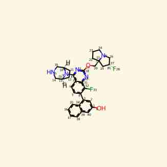 Oc1cc(-c2ccc3c(N4[C@@H]5CC[C@H]4CNC5)nc(OC[C@@]45CCCN4C[C@H](F)C5)nc3c2F)c2ccccc2c1